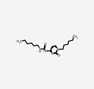 CCCCCCNC(=O)Nc1ccn(CCCCCC)c(=O)n1